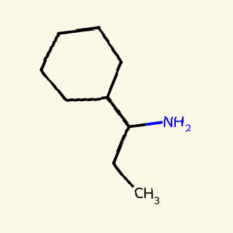 CCC(N)C1CCCCC1